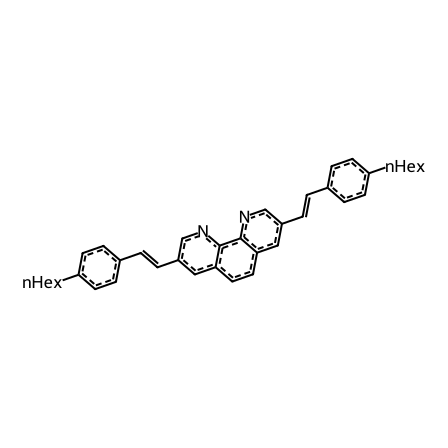 CCCCCCc1ccc(/C=C/c2cnc3c(ccc4cc(/C=C/c5ccc(CCCCCC)cc5)cnc43)c2)cc1